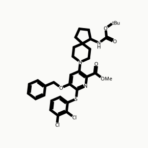 COC(=O)c1nc(Sc2cccc(Cl)c2Cl)c(OCc2ccccc2)cc1N1CCC2(CCCC2NC(=O)OC(C)(C)C)CC1